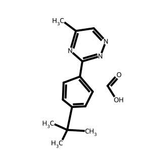 Cc1cnnc(-c2ccc(C(C)(C)C)cc2)n1.O=CO